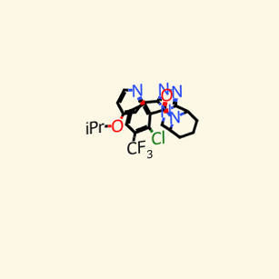 CC(C)Oc1ccnc(-c2nnc3n2CC2CCCC3N2C(=O)c2cccc(C(F)(F)F)c2Cl)c1